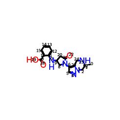 C[C@H]1Cn2ncc(N3CC(Nc4ccccc4C(=O)O)CC3=O)c2CN1